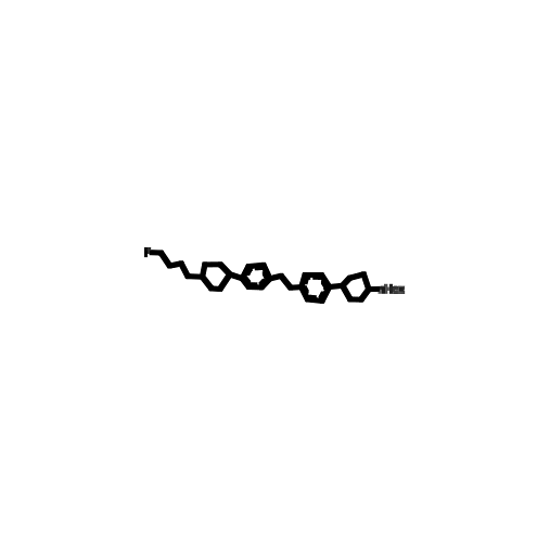 CCCCCCC1CCC(c2ccc(CCc3ccc(C4CCC(CCCCF)CC4)cc3)cc2)CC1